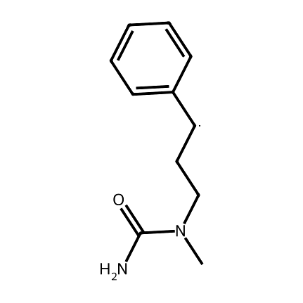 CN(CC[CH]c1ccccc1)C(N)=O